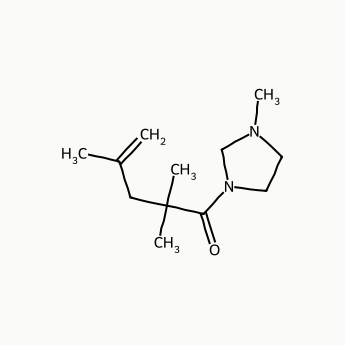 C=C(C)CC(C)(C)C(=O)N1CCN(C)C1